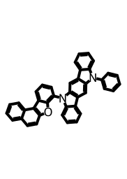 c1ccc(-n2c3ccccc3c3cc4c(cc32)c2ccccc2n4-c2cccc3c2oc2ccc4ccccc4c23)cc1